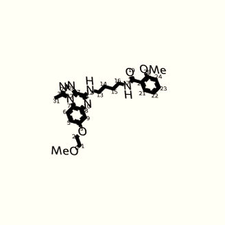 COCCOc1ccc2c(c1)nc(NCCCCNC(=O)c1ccccc1OC)c1nnc(C)n12